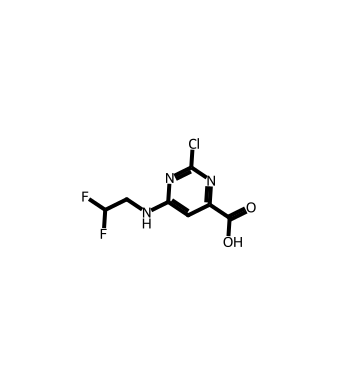 O=C(O)c1cc(NCC(F)F)nc(Cl)n1